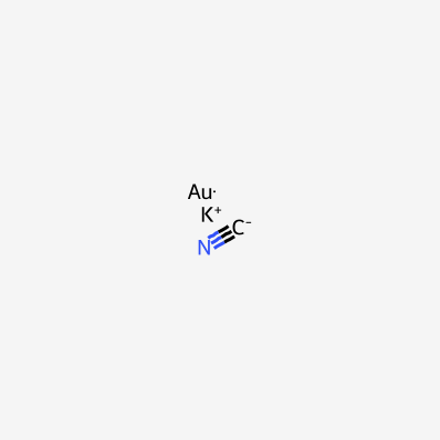 [Au].[C-]#N.[K+]